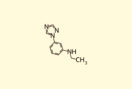 CCNc1cccc(-n2cncn2)c1